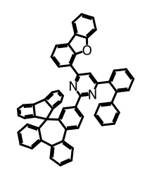 c1ccc(-c2ccccc2-c2cc(-c3cccc4c3oc3ccccc34)nc(-c3ccc4c(c3)C3(c5ccccc5-c5ccccc5-4)c4ccccc4-c4ccccc43)n2)cc1